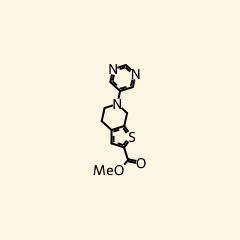 COC(=O)c1cc2c(s1)CN(c1cncnc1)CC2